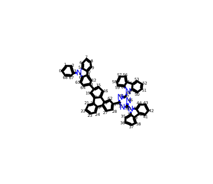 c1ccc(-n2c3ccccc3c3cc(-c4ccc5c(c4)c4ccccc4c4ccc(-c6nc(-n7c8ccccc8c8ccccc87)nc(-n7c8ccccc8c8ccccc87)n6)cc45)ccc32)cc1